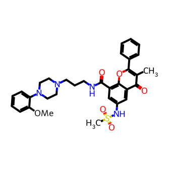 COc1ccccc1N1CCN(CCCNC(=O)c2cc(NS(C)(=O)=O)cc3c(=O)c(C)c(-c4ccccc4)oc23)CC1